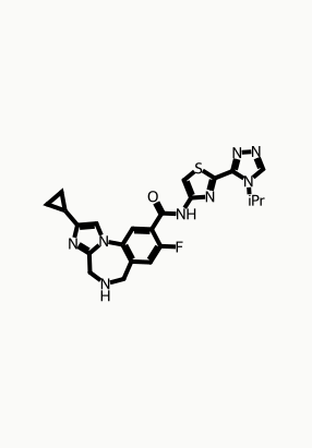 CC(C)n1cnnc1-c1nc(NC(=O)c2cc3c(cc2F)CNCc2nc(C4CC4)cn2-3)cs1